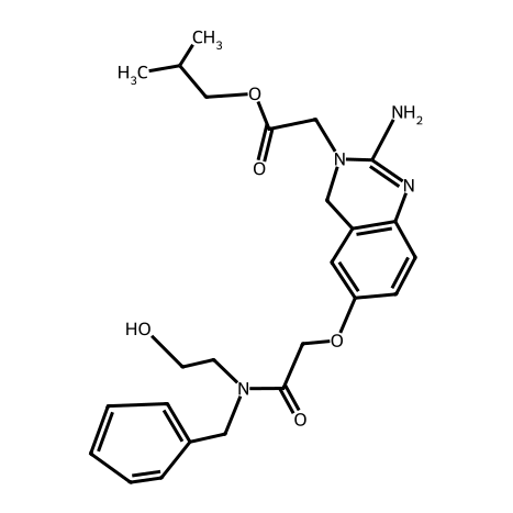 CC(C)COC(=O)CN1Cc2cc(OCC(=O)N(CCO)Cc3ccccc3)ccc2N=C1N